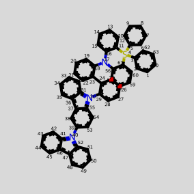 c1ccc(S2(c3ccccc3)c3ccccc3N(c3ccccc3-c3ccccc3-n3c4ccccc4c4cc(-n5c6ccccc6c6ccccc65)ccc43)c3ccccc32)cc1